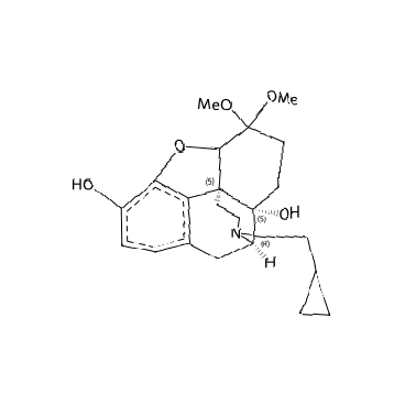 COC1(OC)CC[C@@]2(O)[C@H]3Cc4ccc(O)c5c4[C@@]2(CCN3CC2CC2)C1O5